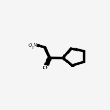 O=C(C[N+](=O)[O-])C1CCCC1